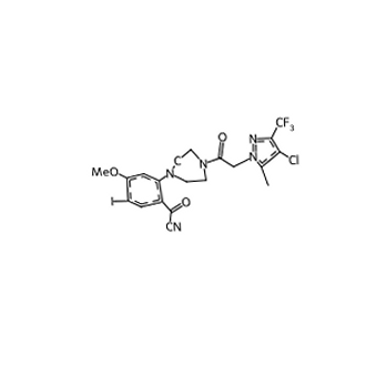 COc1cc(N2CCN(C(=O)Cn3nc(C(F)(F)F)c(Cl)c3C)CC2)c(C(=O)C#N)cc1I